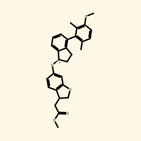 COC(=O)CC1COc2cc(O[C@@H]3CCc4c(-c5c(C)ccc(OC)c5C)cccc43)ccc21